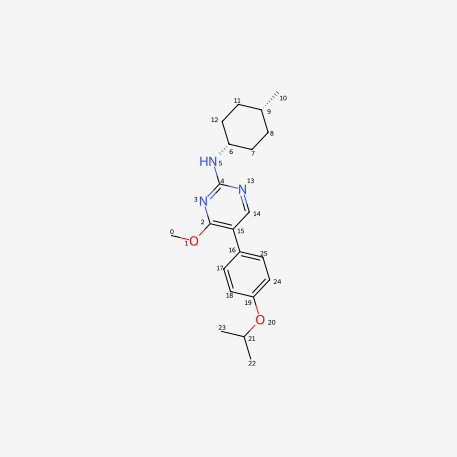 COc1nc(N[C@H]2CC[C@@H](C)CC2)ncc1-c1ccc(OC(C)C)cc1